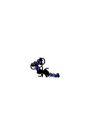 CO/C(=C\C(C)=O)[C@H](C)[C@H](/C=C/c1csc(-c2csc([C@@H](C)/C=C/C=C/C(C)C)n2)n1)OC